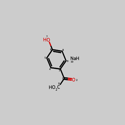 O=C(O)C(=O)c1ccc(O)cc1.[NaH]